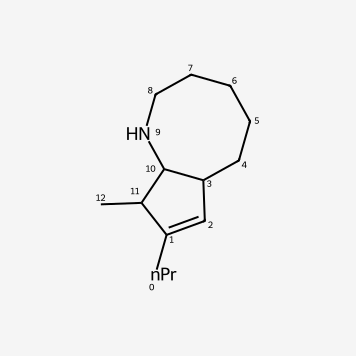 CCCC1=CC2CCCCCNC2C1C